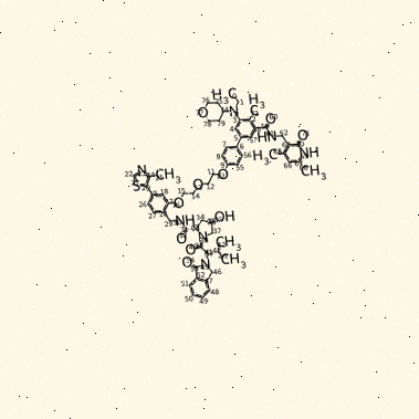 CCN(c1cc(-c2ccc(OCCOCCOc3cc(-c4scnc4C)ccc3CNC(=O)[C@@H]3C[C@@H](O)CN3C(=O)[C@H](C(C)C)N3Cc4ccccc4C3=O)cc2)cc(C(=O)NCc2c(C)cc(C)[nH]c2=O)c1C)C1CCOCC1